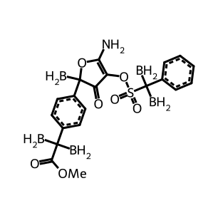 BC(B)(C(=O)OC)c1ccc(C2(B)OC(N)=C(OS(=O)(=O)C(B)(B)c3ccccc3)C2=O)cc1